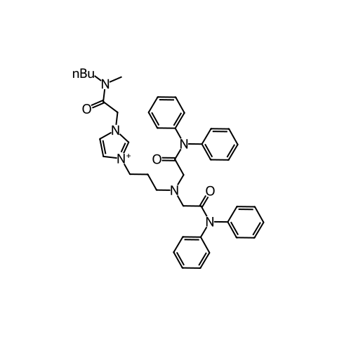 CCCCN(C)C(=O)Cn1cc[n+](CCCN(CC(=O)N(c2ccccc2)c2ccccc2)CC(=O)N(c2ccccc2)c2ccccc2)c1